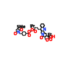 CC[C@@]1(O)C(=O)OCc2c1cc1n(c2=O)Cc2c-1nc1ccccc1c2CCC(C(=O)OCOC(=O)C1CCC(CN2C(=O)CC(SC)C2=O)CC1)C(C)C